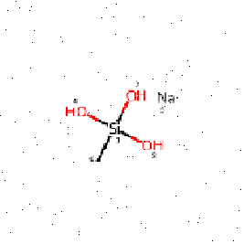 C[Si](O)(O)O.[Na]